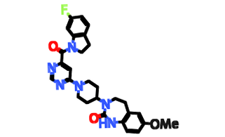 COc1ccc2c(c1)CCN(C1CCN(c3cc(C(=O)N4CCc5ccc(F)cc54)ncn3)CC1)C(=O)N2